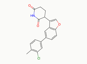 Cc1ccc(-c2ccc3occ(C4CCC(=O)NC4=O)c3c2)cc1Cl